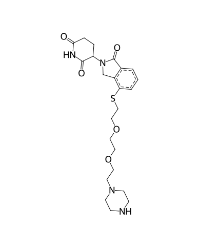 O=C1CCC(N2Cc3c(SCCOCCOCCN4CCNCC4)cccc3C2=O)C(=O)N1